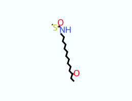 CCC(=O)CCCCCCCCCCCNC(=O)SC